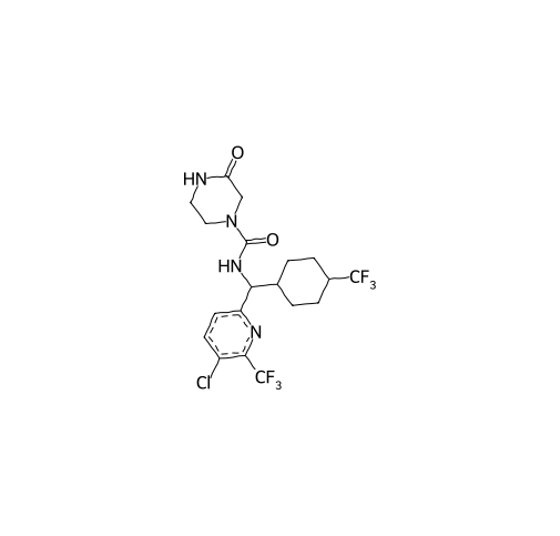 O=C1CN(C(=O)NC(c2ccc(Cl)c(C(F)(F)F)n2)C2CCC(C(F)(F)F)CC2)CCN1